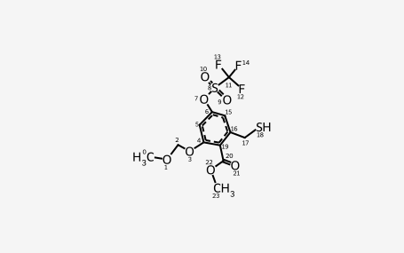 COCOc1cc(OS(=O)(=O)C(F)(F)F)cc(CS)c1C(=O)OC